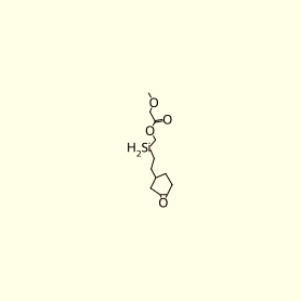 COCC(=O)OC[SiH2]CCC1CCC2OC2C1